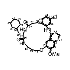 COc1cc2ncnc3c2cc1OCCCNC(=O)[C@H](CC1CCCCC1)NC(=O)CCc1ccc(Cl)cc1N3